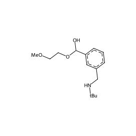 COCCOC(O)c1cccc(CNC(C)(C)C)c1